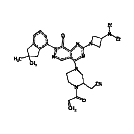 C=CC(=O)N1CCN(c2nc(N3CC(N(CC)CC)C3)nc3c(=O)n(-c4cccc5c4CC(C)(C)C5)ncc23)CC1CC#N